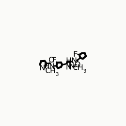 Cc1ncccc1C(=O)Nc1ccc(-c2cc(NC(=O)c3ccccc3F)n(C)n2)cc1F